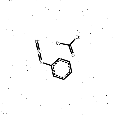 CCC(=O)CC.[N-]=[N+]=Nc1ccccc1